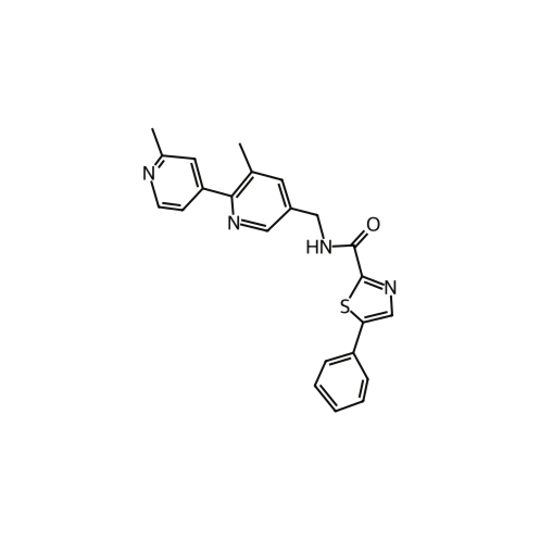 Cc1cc(-c2ncc(CNC(=O)c3ncc(-c4ccccc4)s3)cc2C)ccn1